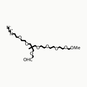 COCOCCOCCOCCOCC(C)(COCC=O)COCCOCCN=[N+]=[N-]